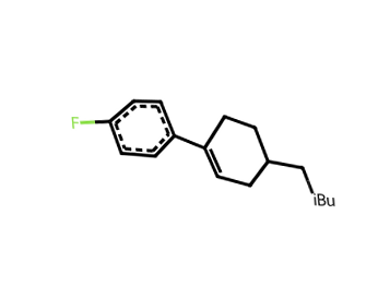 CCC(C)CC1CC=C(c2ccc(F)cc2)CC1